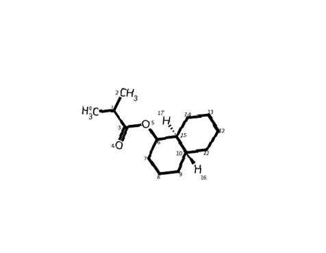 CC(C)C(=O)OC1CCC[C@H]2CCCC[C@H]12